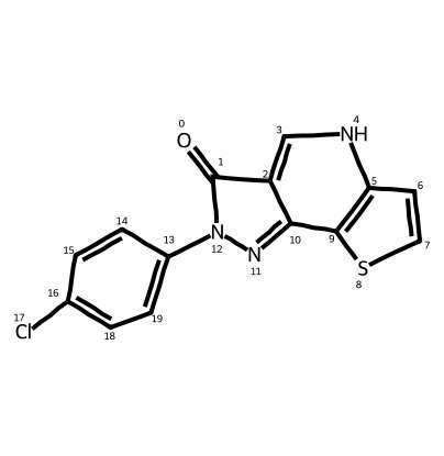 O=c1c2c[nH]c3ccsc3c-2nn1-c1ccc(Cl)cc1